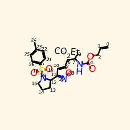 C=CCOC(=O)NC(Cc1cc(C2CCCN2S(=O)(=O)c2ccc(C)cc2)no1)C(=O)OCC